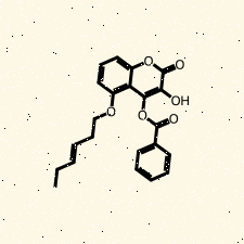 CC/C=C/CCOc1cccc2oc(=O)c(O)c(OC(=O)c3ccccc3)c12